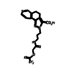 O=C(COC(=O)C(F)(F)F)NCCCn1nc2c(c1C(=O)O)CCc1cnccc1-2